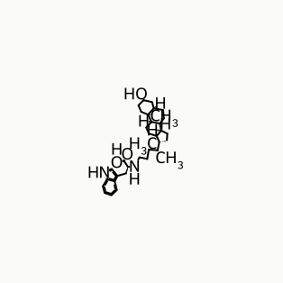 C[C@H](CCCN[C@@H](Cc1c[nH]c2ccccc12)C(=O)O)[C@H]1CC[C@H]2[C@@H]3CC[C@@H]4C[C@H](O)CC[C@]4(C)[C@H]3CC[C@]12C